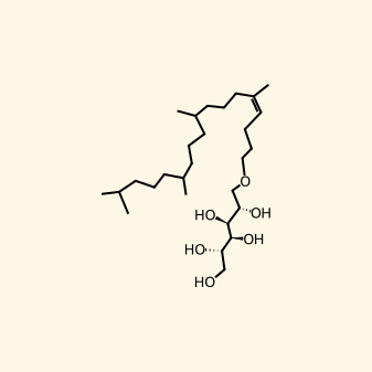 CC(=CCCCOC[C@H](O)[C@H](O)[C@@H](O)[C@@H](O)CO)CCCC(C)CCCC(C)CCCC(C)C